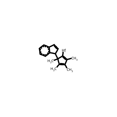 CC1=C(C)C(C)(C2C=Cc3ccccc32)[C]([Hf])=C1C